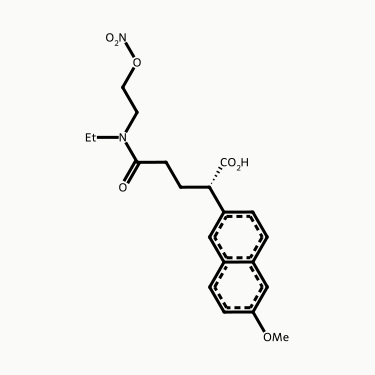 CCN(CCO[N+](=O)[O-])C(=O)CC[C@H](C(=O)O)c1ccc2cc(OC)ccc2c1